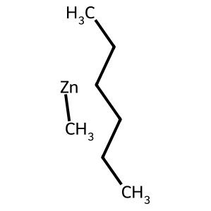 CCCCCC.[CH3][Zn]